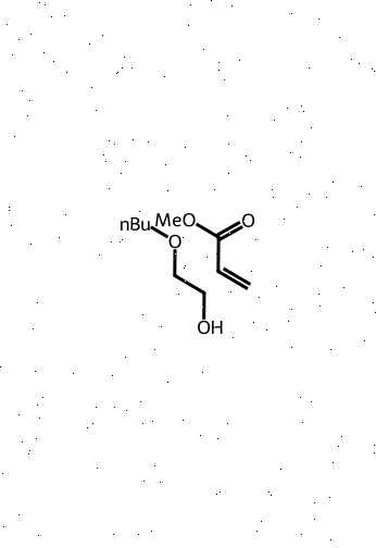 C=CC(=O)OC.CCCCOCCO